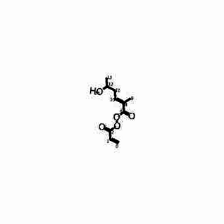 C=CC(=O)OOC(=O)C(C)=CCC(C)O